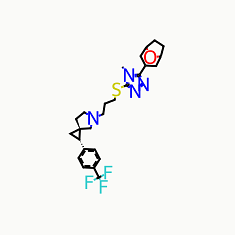 Cn1c(SCCCN2CC[C@@]3(C[C@H]3c3ccc(C(F)(F)F)cc3)C2)nnc1C1CC2CCC(C1)O2